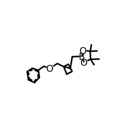 CC1(C)OB(CC2C3CC2(COCc2ccccc2)C3)OC1(C)C